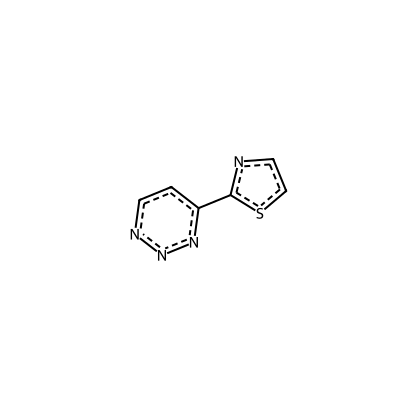 c1cc(-c2nccs2)nnn1